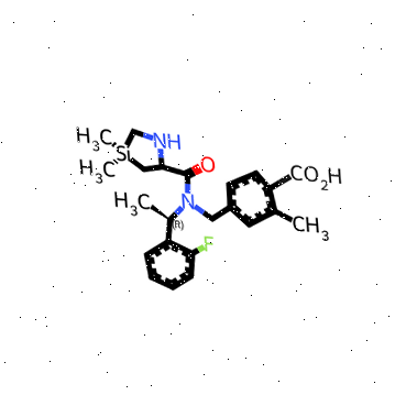 Cc1cc(CN(C(=O)C2C[Si](C)(C)CN2)[C@H](C)c2ccccc2F)ccc1C(=O)O